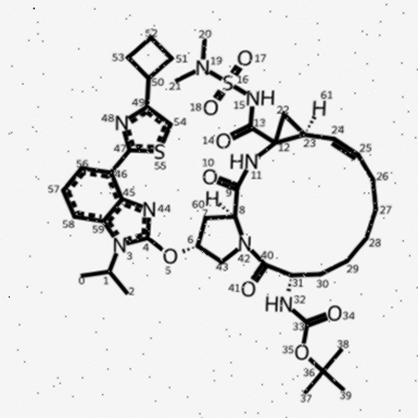 CC(C)n1c(O[C@@H]2C[C@H]3C(=O)NC4(C(=O)NS(=O)(=O)N(C)C)C[C@H]4/C=C\CCCCC[C@H](NC(=O)OC(C)(C)C)C(=O)N3C2)nc2c(-c3nc(C4CCC4)cs3)cccc21